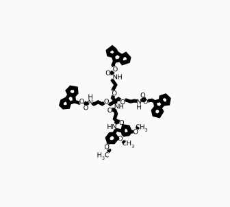 CCOc1ccc(C(NC(=O)CCC(=O)NC(COCCCNC(=O)OCC2c3ccccc3-c3ccccc32)(COCCCNC(=O)OCC2c3ccccc3-c3ccccc32)COCCCNC(=O)OCC2c3ccccc3-c3ccccc32)c2ccc(OC)cc2OC)cc1